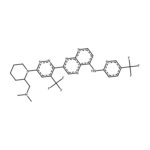 CN(C)CC1CCCCN1c1cc(C(F)(F)F)c(-c2cnc3c(Nc4ccc(C(F)(F)F)cn4)ccnc3n2)nn1